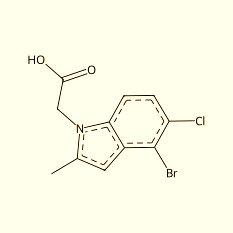 Cc1cc2c(Br)c(Cl)ccc2n1CC(=O)O